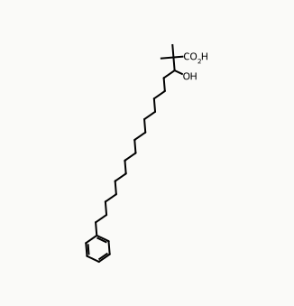 CC(C)(C(=O)O)C(O)CCCCCCCCCCCCCCCc1ccccc1